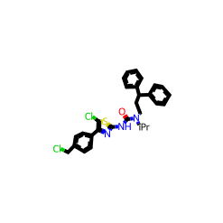 CC(C)N(CCC(c1ccccc1)c1ccccc1)C(=O)Nc1nc(-c2ccc(CCl)cc2)c(Cl)s1